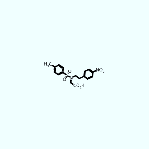 Cc1ccc(S(=O)(=O)N(CCc2ccc([N+](=O)[O-])cc2)CC(=O)O)cc1